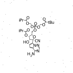 CC(C)C(=O)OCOP(=O)(OCOC(=O)C(C)(C)C)OC[C@H]1O[C@@](C#N)(c2ccc3c(N)ncnn23)[C@H](O)[C@@H]1OC(=O)C(C)C